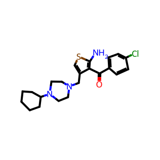 Nc1scc(CN2CCN(C3CCCCC3)CC2)c1C(=O)c1ccc(Cl)cc1